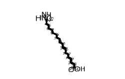 NNC(=O)CCCCCCC=CCCC=CCCCCCCC(=O)O